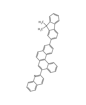 CC1(C)c2ccccc2-c2ccc(-c3ccc4c(ccc5cc(-c6ccc7ccccc7n6)c6ccccc6c54)c3)cc21